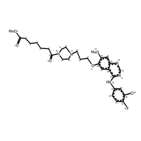 COC(=O)CCCCCC(=O)N1CCN(CCCOc2cc3c(Nc4ccc(F)c(Cl)c4)ncnc3cc2OC)CC1